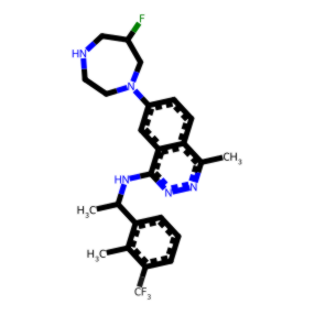 Cc1c(C(C)Nc2nnc(C)c3ccc(N4CCNCC(F)C4)cc23)cccc1C(F)(F)F